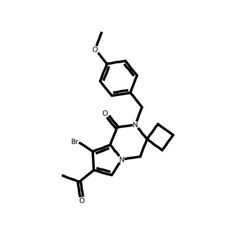 COc1ccc(CN2C(=O)c3c(Br)c(C(C)=O)cn3CC23CCC3)cc1